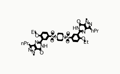 CCCc1nn(C)c2c(=O)[nH]c(-c3cc(S(=O)(=O)N4CCN(S(=O)(=O)c5ccc(OCC)c(-c6nc7c(CCC)nn(C)c7c(=O)[nH]6)c5)CC4)ccc3OCC)nc12